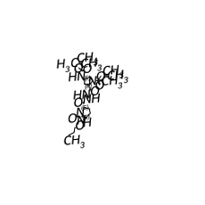 CCCCON1C(=O)N2C[C@@H]1CC[C@H]2C(=O)NNC(=O)[C@H]1C[C@H](NC(=O)OC(C)(C)C)CN1C(=O)OC(C)(C)C